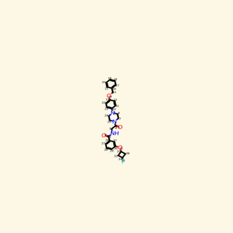 O=C(NCC(=O)N1CCN(c2ccc(OCc3ccccc3)cc2)CC1)c1cccc(OC2CC(F)C2)c1